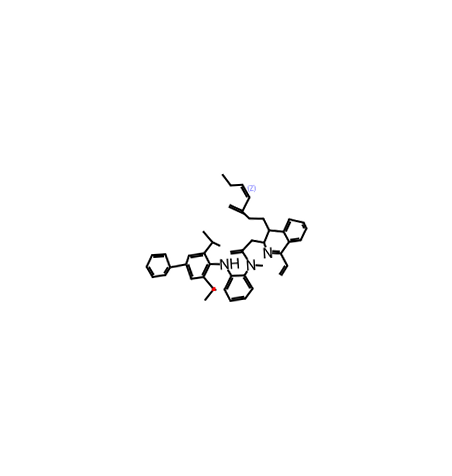 C=CC1=NC(CC(=C)N(C)c2ccccc2Nc2c(C(C)C)cc(-c3ccccc3)cc2C(C)C)C(CCC(=C)/C=C\CC)c2ccccc21